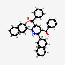 O=C(c1ccccc1)c1cc(C(=O)c2ccccc2)c(-c2ccc3ccccc3c2)nc1-c1ccc2ccccc2c1